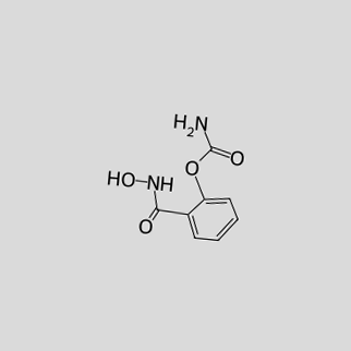 NC(=O)Oc1ccccc1C(=O)NO